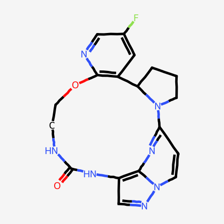 O=C1NCCOc2ncc(F)cc2C2CCCN2c2ccn3ncc(c3n2)N1